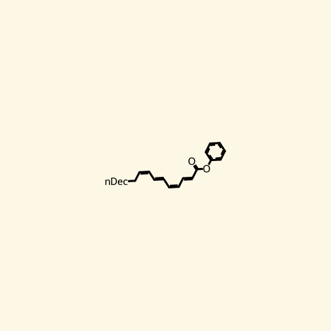 CCCCCCCCCCC\C=C/C=C/C=C\C=C\C(=O)Oc1ccccc1